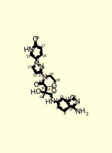 C[C@](O)(C(=O)Nc1ccc2c(N)noc2c1)[C@H]1OCCN(c2ccn(-c3ccc(=O)[nH]c3)n2)C1=O